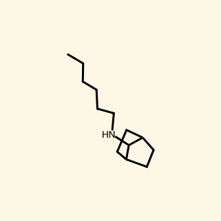 CCCCCCNC1C2CCC1CC2